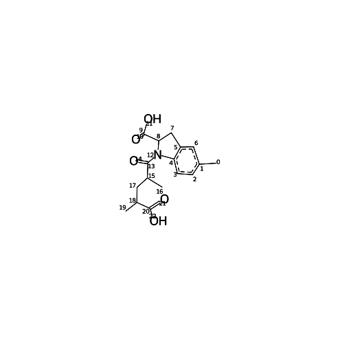 Cc1ccc2c(c1)CC(C(=O)O)N2C(=O)C(C)CC(C)C(=O)O